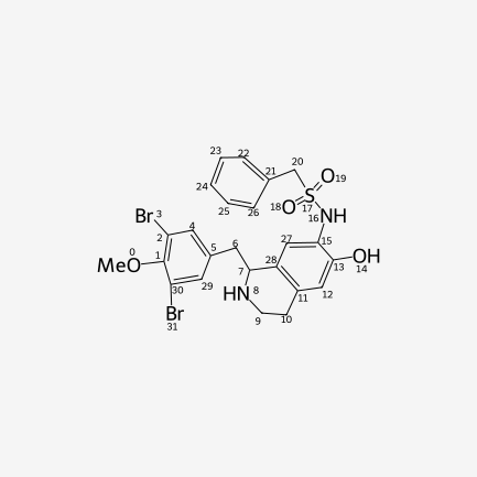 COc1c(Br)cc(CC2NCCc3cc(O)c(NS(=O)(=O)Cc4ccccc4)cc32)cc1Br